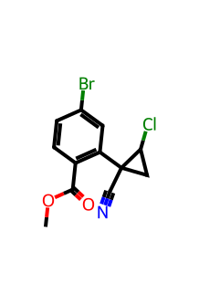 COC(=O)c1ccc(Br)cc1C1(C#N)CC1Cl